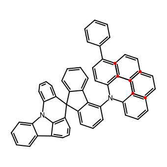 c1ccc(-c2ccc(N(c3ccccc3-c3ccccc3)c3cccc4c3-c3ccccc3C43c4ccccc4-n4c5ccccc5c5cccc3c54)c(-c3ccccc3)c2)cc1